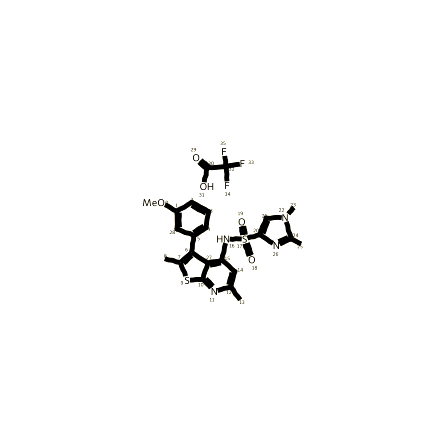 COc1cccc(-c2c(C)sc3nc(C)cc(NS(=O)(=O)c4cn(C)c(C)n4)c23)c1.O=C(O)C(F)(F)F